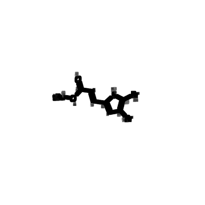 CC(C)(C)OC(=O)C=Cc1cc(Br)c(Br)s1